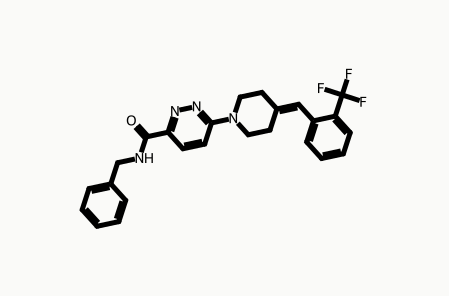 O=C(NCc1ccccc1)c1ccc(N2CCC(=Cc3ccccc3C(F)(F)F)CC2)nn1